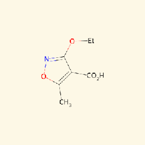 CCOc1noc(C)c1C(=O)O